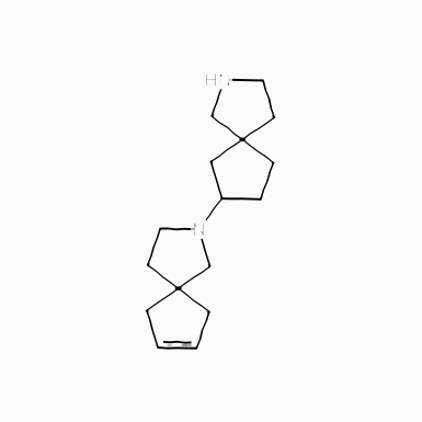 C1=CCC2(C1)CCN(C1CCC3(CCNC3)C1)C2